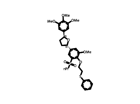 CCCS(=O)(=O)c1cc([C@@H]2CC[C@@H](c3cc(OC)c(OC)c(OC)c3)O2)cc(OC)c1OCCSc1ccccc1